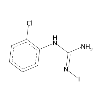 NC(=NI)Nc1ccccc1Cl